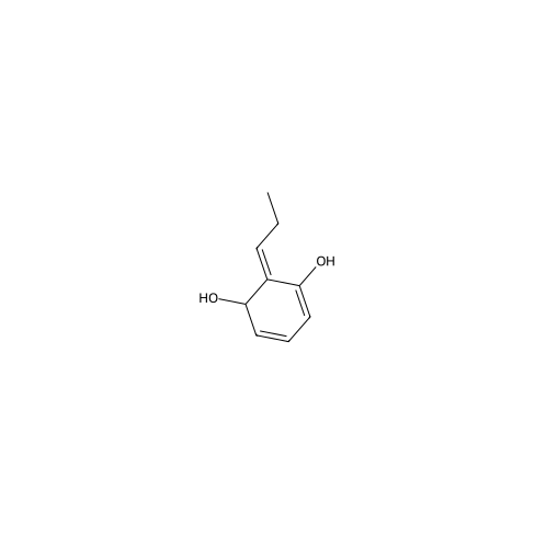 CCC=C1C(O)=CC=CC1O